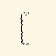 CCCCCCCCCC=CCCCCCCCCCCCCCC(=O)O